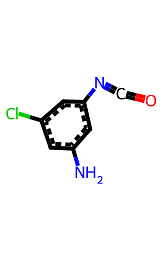 Nc1cc(Cl)cc(N=C=O)c1